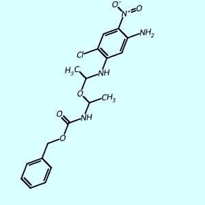 CC(NC(=O)OCc1ccccc1)OC(C)Nc1cc(N)c([N+](=O)[O-])cc1Cl